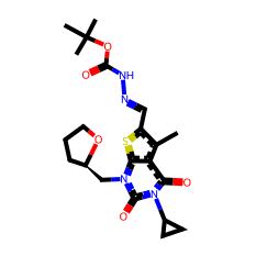 Cc1c(/C=N/NC(=O)OC(C)(C)C)sc2c1c(=O)n(C1CC1)c(=O)n2C[C@H]1CCCO1